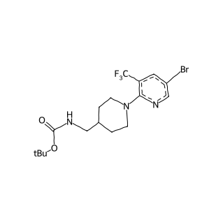 CC(C)(C)OC(=O)NCC1CCN(c2ncc(Br)cc2C(F)(F)F)CC1